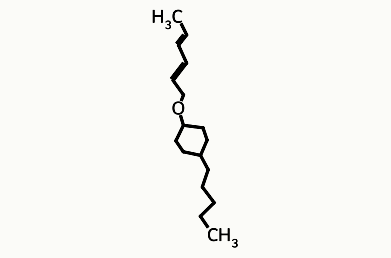 CC=CC=CCOC1CCC(CCCCC)CC1